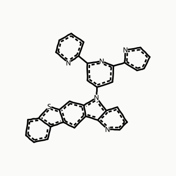 c1ccc(-c2cc(-n3c4cc5sc6ccccc6c5cc4c4ncccc43)cc(-c3ccccn3)n2)nc1